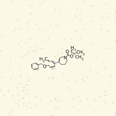 C=C/C=C(\C=C/COCc1ccccc1)C1=CCN(C(=O)OC(C)(C)C)CCC1